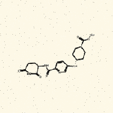 CC(C)(C)OC(=O)[C@H]1CC[C@H](Nc2ccc(C(=O)NC3CCC(=O)NC3=O)nc2)CC1